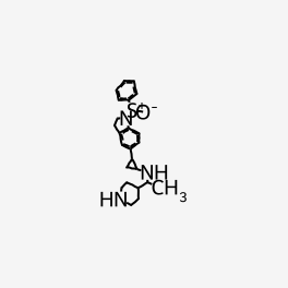 CC(NC1CC1c1ccc2c(c1)CCN2[S+]([O-])c1ccccc1)C1CCNCC1